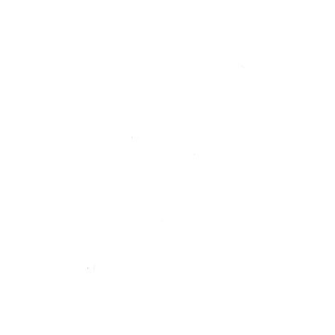 OCC(CCOc1ccc(Br)cc1)c1ccc(Cl)cc1Cl